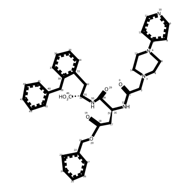 O=C(CN1CCN(c2ccncc2)CC1)N[C@@H](CC(=O)OCc1ccccc1)C(=O)N[C@@H](Cc1ccccc1Cc1ccccc1)C(=O)O